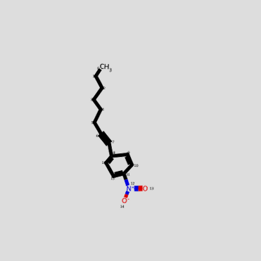 CCCCCCC#Cc1ccc([N+](=O)[O-])cc1